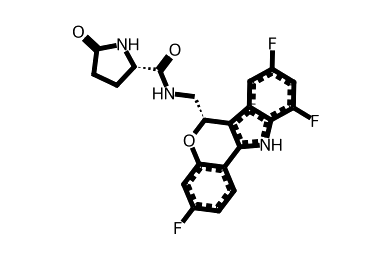 O=C1CC[C@@H](C(=O)NC[C@H]2Oc3cc(F)ccc3-c3[nH]c4c(F)cc(F)cc4c32)N1